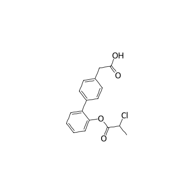 CC(Cl)C(=O)Oc1ccccc1-c1ccc(CC(=O)O)cc1